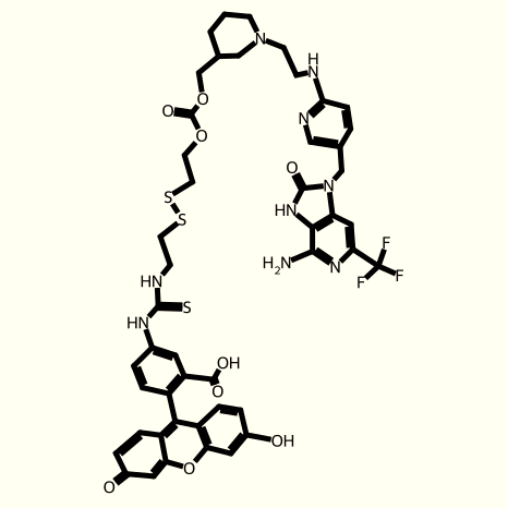 Nc1nc(C(F)(F)F)cc2c1[nH]c(=O)n2Cc1ccc(NCCN2CCCC(COC(=O)OCCSSCCNC(=S)Nc3ccc(-c4c5ccc(=O)cc-5oc5cc(O)ccc45)c(C(=O)O)c3)C2)nc1